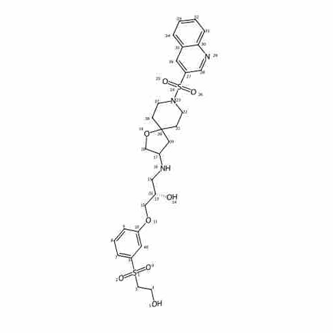 O=S(=O)(CCO)c1cccc(OC[C@@H](O)CNC2COC3(CCN(S(=O)(=O)c4cnc5ccccc5c4)CC3)C2)c1